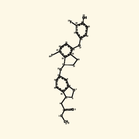 COC(=O)CC1COc2cc(OC3CCc4c(Oc5ccc(O)c(F)c5)ccc(F)c43)ccc21